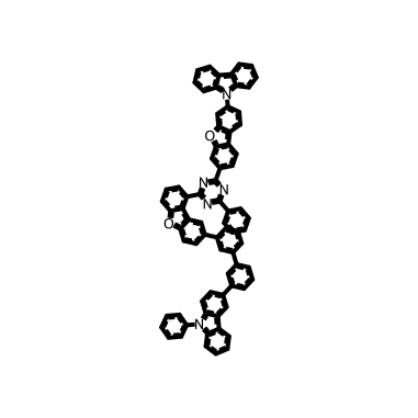 c1ccc(-c2nc(-c3ccc4c(c3)oc3cc(-n5c6ccccc6c6ccccc65)ccc34)nc(-c3cccc4oc5ccc(-c6cccc(-c7cccc(-c8ccc9c(c8)c8ccccc8n9-c8ccccc8)c7)c6)cc5c34)n2)cc1